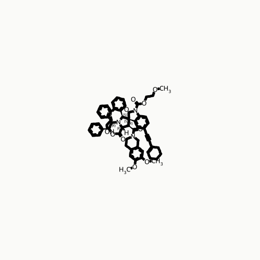 COCCOC(=O)N1C(=O)[C@@]2(c3cc(C#CC4=CCCCC4)ccc31)[C@H](c1ccccc1OCCO)N1[C@H](c3ccccc3)[C@H](c3ccccc3)OC(=O)[C@H]1[C@@H]2C(=O)N1CCc2cc(OC)c(OC)cc2C1